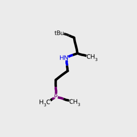 CC(CC(C)(C)C)NCCP(C)C